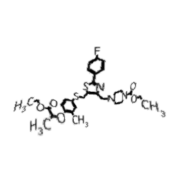 CCOC(=O)C(C)Oc1ccc(SCc2sc(-c3ccc(F)cc3)nc2CN2CCN(C(=O)OCC)CC2)cc1C